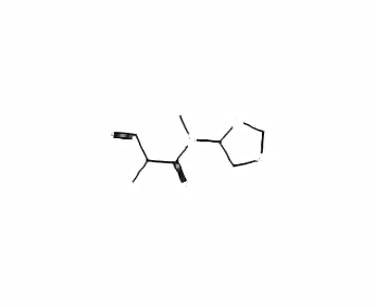 CC(C=O)C(=S)N(C)C1CNCO1